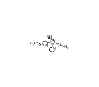 CCOc1ccc(-c2nnc(C34CC(N)(C3)C4)n2-c2ccccn2)nc1.Cl.Cl